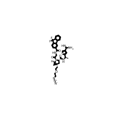 C[C@@H](NC(=O)[C@@H]1C[C@@]2(CCOCCN=[N+]=[N-])C[C@@H]2N1C(=O)CNC(=O)c1ccc2c(c1)-c1ccccc1C2(F)F)c1cc(C(=N)N)cs1